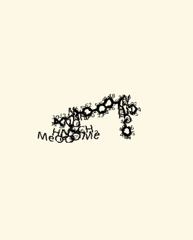 COC(=O)N[C@H](C(=O)N1CC2(CC2)C[C@H]1c1ncc(-c2ccc(-c3ccc4cc(-c5cnc([C@@H]6CCCN6C(=O)OCc6ccccc6)[nH]5)ccc4c3)cc2)[nH]1)[C@@H](C)OC